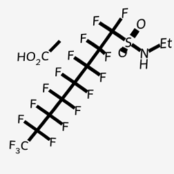 CC(=O)O.CCNS(=O)(=O)C(F)(F)C(F)(F)C(F)(F)C(F)(F)C(F)(F)C(F)(F)C(F)(F)C(F)(F)F